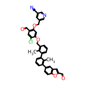 Cc1c(COc2cc(OCc3cncc(C#N)c3)c(C=O)cc2Cl)cccc1-c1cccc(-c2ccc3oc(C=O)cc3c2)c1C